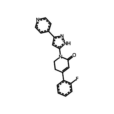 O=C1C=C(c2ccccc2F)CCN1c1cc(-c2ccncc2)n[nH]1